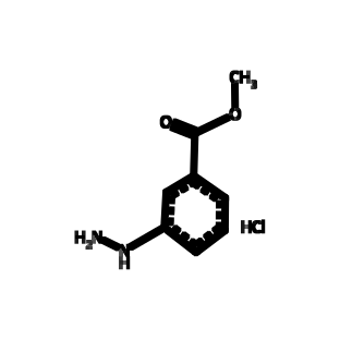 COC(=O)c1cccc(NN)c1.Cl